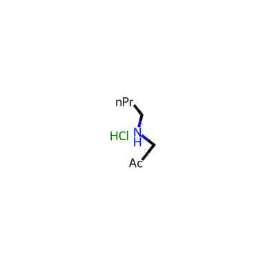 CCCCNCC(C)=O.Cl